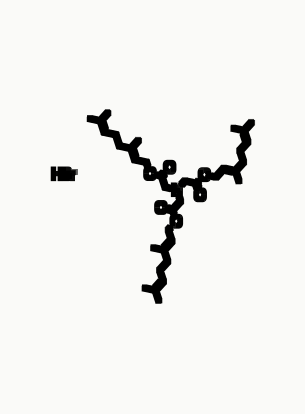 Br.CC(C)=CCC/C(C)=C/COC(=O)CN(CC(=O)OC/C=C(\C)CCC=C(C)C)CC(=O)OC/C=C(\C)CCC=C(C)C